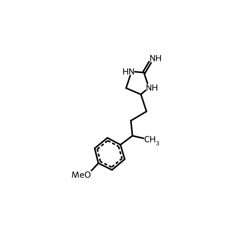 COc1ccc(C(C)CCC2CNC(=N)N2)cc1